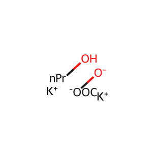 CCCO.O=C([O-])[O-].[K+].[K+]